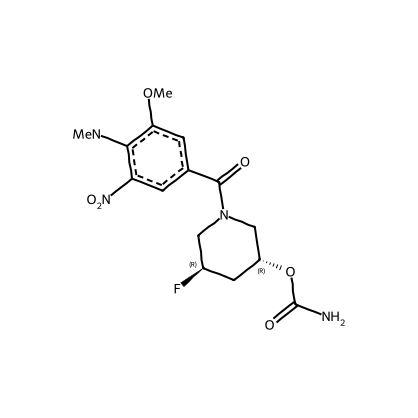 CNc1c(OC)cc(C(=O)N2C[C@H](F)C[C@@H](OC(N)=O)C2)cc1[N+](=O)[O-]